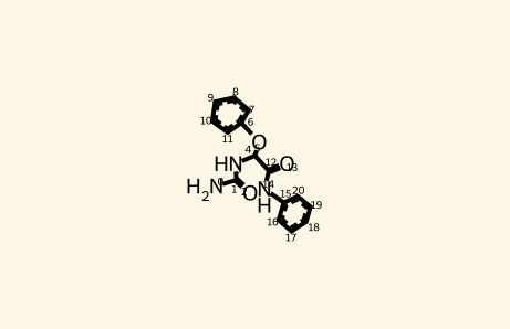 NC(=O)NC(Oc1ccccc1)C(=O)Nc1ccccc1